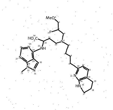 COCC(F)CN(CCCCc1ccc2c(n1)NCCC2)CCC(Nc1ncnc2c1cnn2C)C(=O)O